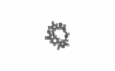 Cc1cc2c([nH]1)/C=C1\C(=O)Nc3ccc(cc31)-c1c(C)nn(C)c1COCCN(C)C2=O